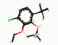 CCOc1c(Br)ccc(C(C)(C)C)c1O[SiH](C)C